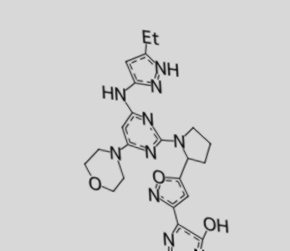 CCc1cc(Nc2cc(N3CCOCC3)nc(N3CCCC3c3cc(-c4nccnc4O)no3)n2)n[nH]1